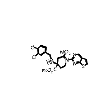 CCOC(=O)C1(NCc2ccc(Cl)c(Cl)c2)CCN(c2ncc3ccsc3n2)C([N+](=O)[O-])C1